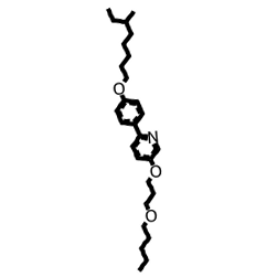 CCCCCOCCCOc1ccc(-c2ccc(OCCCCCC(C)CC)cc2)nc1